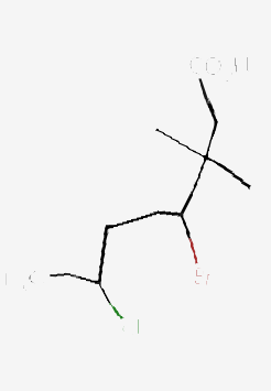 CC(C)(CC(=O)O)C(Br)CC(Cl)C(F)(F)F